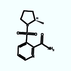 C[C@H]1CCCN1S(=O)(=O)c1cccnc1C(N)=O